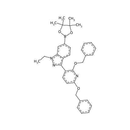 CCn1nc(-c2ccc(OCc3ccccc3)nc2OCc2ccccc2)c2ccc(B3OC(C)(C)C(C)(C)O3)cc21